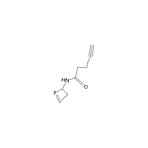 C#CCCC(=O)NC1CC=P1